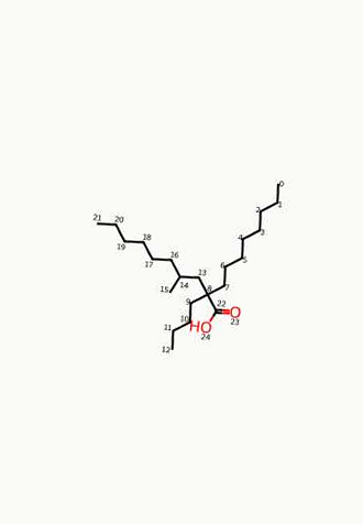 CCCCCCCCC(CCCC)(CC(C)CCCCCC)C(=O)O